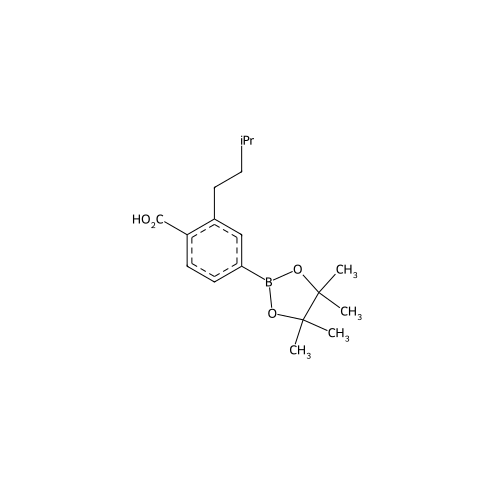 CC(C)CCc1cc(B2OC(C)(C)C(C)(C)O2)ccc1C(=O)O